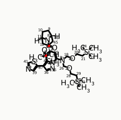 CC(C)(C)OC(=O)N1[C@@H]2CC[C@H]1C[C@@H](c1cc(N(COCC[Si](C)(C)C)COCC[Si](C)(C)C)n3ncc(-c4cncs4)c3n1)C2